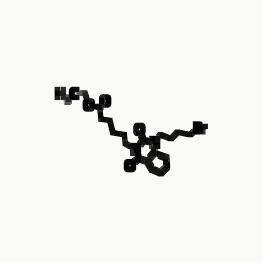 CCOC(=O)CCCCCn1c(=O)c2ccccc2n(CCCCBr)c1=O